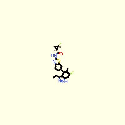 C=Cc1n[nH]c2cc(F)c(C)c(-c3ccc4nc(NC(=O)[C@@H]5C[C@@H]5F)sc4c3)c12